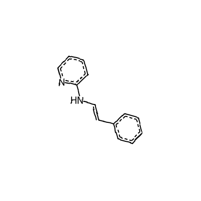 C(=Cc1ccccc1)Nc1ccccn1